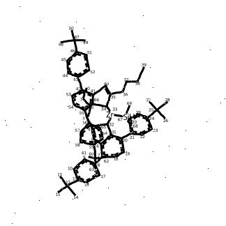 CCCCC1=Cc2c(-c3ccc(C(C)(C)C)cc3)ccc(-c3ccc(C(C)(C)C)cc3)c2[CH]1[Zr]([CH]1C(CCCC)=Cc2c(-c3ccc(C(C)(C)C)cc3)ccc(-c3ccc(C(C)(C)C)cc3)c21)[SiH](C)C